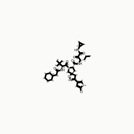 CCC[C@H](NC(=O)[C@@H]1C[C@]2(CC(c3csc(Cl)c3)=NO2)CN1C(=O)[C@@H](NC(=O)CC1CCCCC1)C(C)(C)C)C(=O)C(=O)NC1CC1